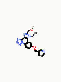 CCOCc1nc2c(c3cc(OCc4cccnc4)ccc3n3nnnc23)n1CC(C)C